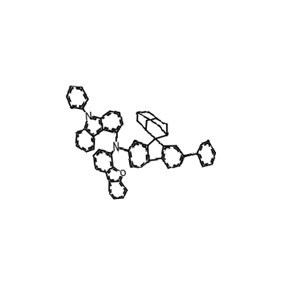 c1ccc(-c2ccc3c(c2)C2(c4cc(N(c5cccc6c5oc5ccccc56)c5cccc6c5c5ccccc5n6-c5ccccc5)ccc4-3)C3CC4CC(C3)CC2C4)cc1